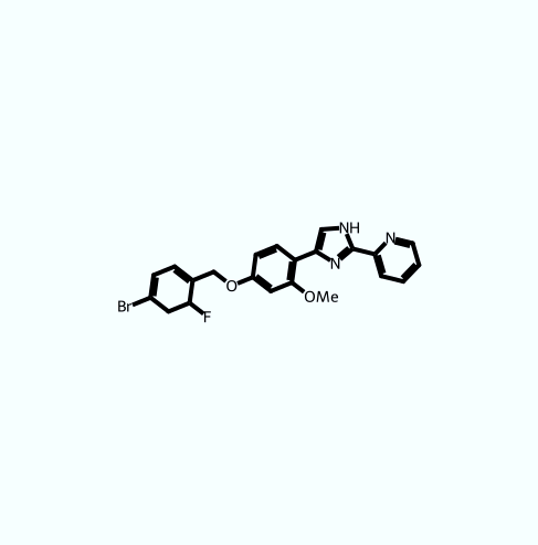 COc1cc(OCC2=CC=C(Br)CC2F)ccc1-c1c[nH]c(-c2ccccn2)n1